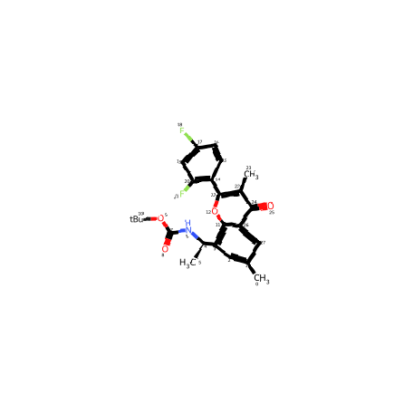 Cc1cc([C@@H](C)NC(=O)OC(C)(C)C)c2oc(-c3ccc(F)cc3F)c(C)c(=O)c2c1